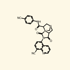 N#Cc1ccc(NC(=O)C2CN3CC4C(=O)N(c5ccc(C#N)c6ncccc56)C(=O)[N+]24C3)cc1